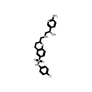 Nc1ccc([C@@H](O)CNCC2CCc3cc(S(=O)(=O)Nc4ccc(Cl)cc4)ccc3O2)cn1